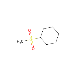 CS(=O)(=O)C1C[CH]CCC1